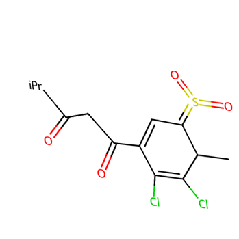 CC(C)C(=O)CC(=O)C1=CC(=S(=O)=O)C(C)C(Cl)=C1Cl